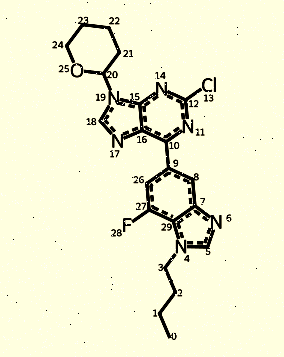 CCCCn1cnc2cc(-c3nc(Cl)nc4c3ncn4C3CCCCO3)cc(F)c21